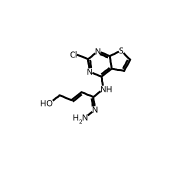 N/N=C(\C=C\CO)Nc1nc(Cl)nc2sccc12